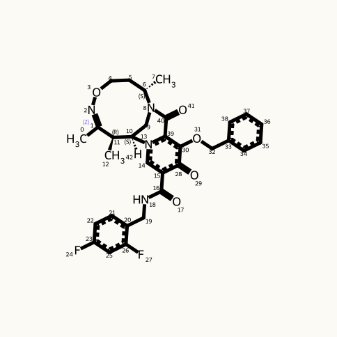 C/C1=N/OCC[C@H](C)N2C[C@H]([C@H]1C)n1cc(C(=O)NCc3ccc(F)cc3F)c(=O)c(OCc3ccccc3)c1C2=O